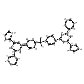 CC(C)(c1ccc(-c2cc(-c3cccs3)nc(-c3ccccc3)n2)cc1)c1ccc(-c2cc(-c3cccs3)nc(-c3ccccc3)n2)cc1